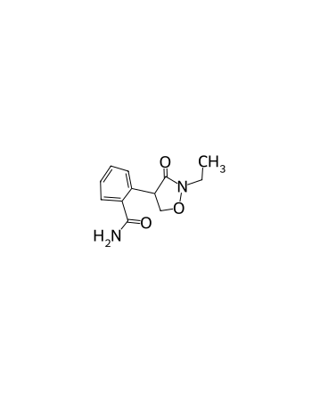 CCN1OCC(c2ccccc2C(N)=O)C1=O